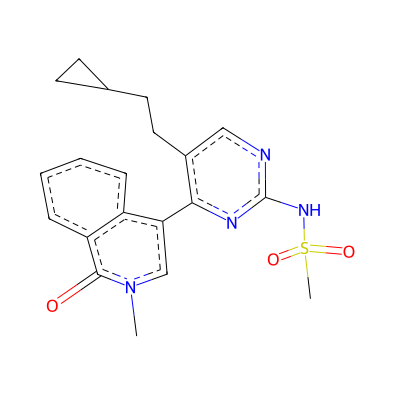 Cn1cc(-c2nc(NS(C)(=O)=O)ncc2CCC2CC2)c2ccccc2c1=O